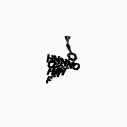 O=C1c2ccc(C#CC3CC3)cc2CN1CC(CNCCF)c1nc[nH]c(=O)c1O